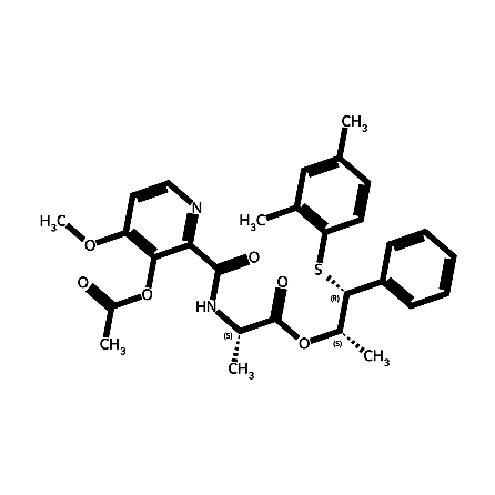 COc1ccnc(C(=O)N[C@@H](C)C(=O)O[C@@H](C)[C@H](Sc2ccc(C)cc2C)c2ccccc2)c1OC(C)=O